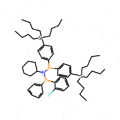 CCCC[Si](CCCC)(CCCC)c1ccc(P(c2ccc([Si](CCCC)(CCCC)CCCC)cc2)N(C2CCCCC2)P(c2ccccc2)c2ccccc2F)cc1